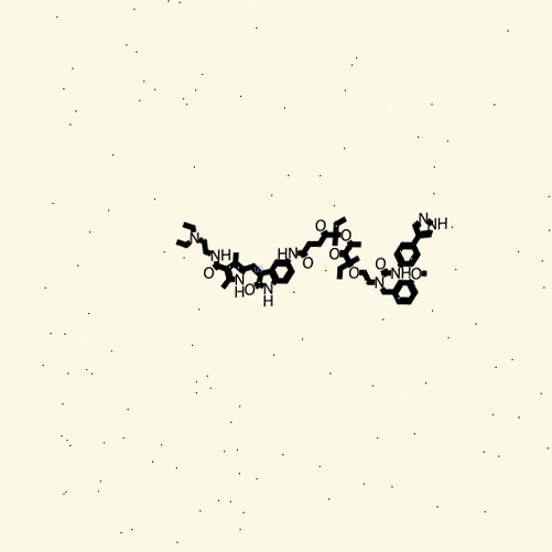 CCN(CC)CCNC(=O)c1c(C)[nH]c(/C=C2\C(=O)Nc3ccc(NC(=O)CCC(=O)C(C)(CC)OC(C)C(=O)C(C)(CC)OCCN(Cc4cccc(OC)c4)C(=O)Nc4ccc(-c5cn[nH]c5)cc4)cc32)c1C